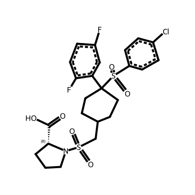 O=C(O)[C@H]1CCCN1S(=O)(=O)CC1CCC(c2cc(F)ccc2F)(S(=O)(=O)c2ccc(Cl)cc2)CC1